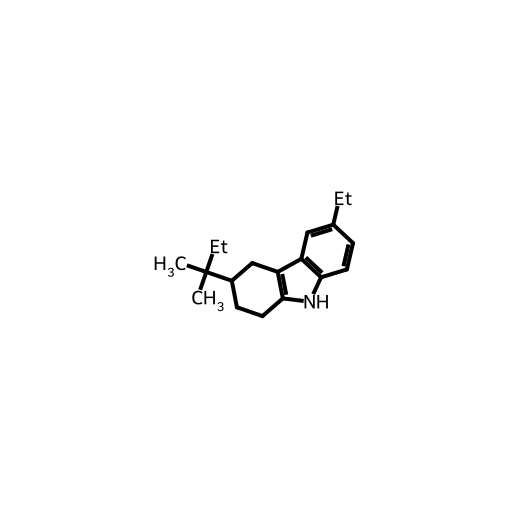 CCc1ccc2[nH]c3c(c2c1)CC(C(C)(C)CC)CC3